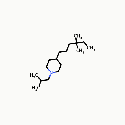 CCC(C)(C)CCCC1CCN(CC(C)C)CC1